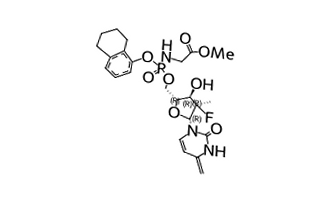 C=C1C=CN([C@@H]2O[C@H](COP(=O)(NCC(=O)OC)Oc3cccc4c3CCCC4)[C@@H](O)[C@@]2(C)F)C(=O)N1